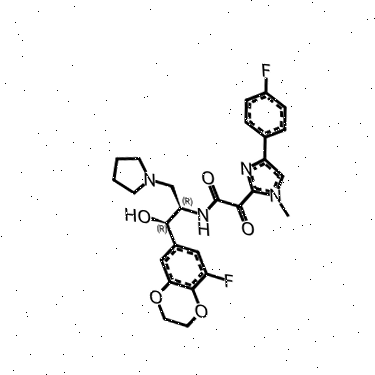 Cn1cc(-c2ccc(F)cc2)nc1C(=O)C(=O)N[C@H](CN1CCCC1)[C@H](O)c1cc(F)c2c(c1)OCCO2